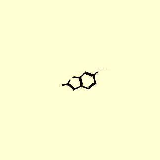 CNc1ccc2cc(C=O)sc2c1